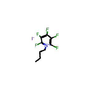 CCCC[n+]1c(F)c(F)c(F)c(F)c1F.[I-]